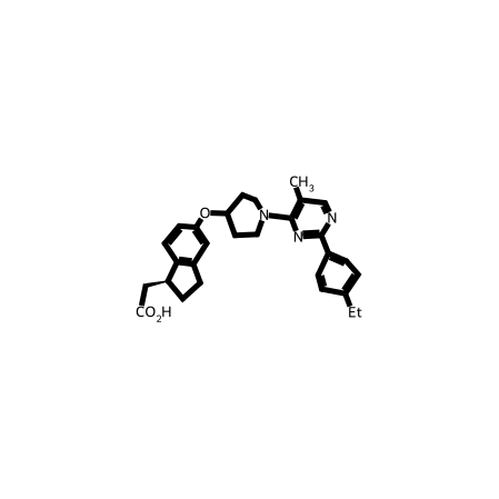 CCc1ccc(-c2ncc(C)c(N3CCC(Oc4ccc5c(c4)CC[C@H]5CC(=O)O)CC3)n2)cc1